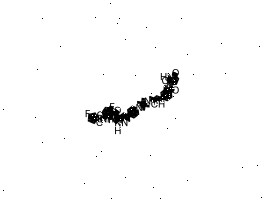 O=C1CC[C@H](N2Cc3cc(CC[C@H](O)CN4CC5(C4)CN(c4ccc(-c6cnc7[nH]cc(C(=O)c8c(F)ccc(NS(=O)(=O)N9CC[C@@H](F)C9)c8F)c7c6)cc4)C5)ccc3C2=O)C(=O)N1